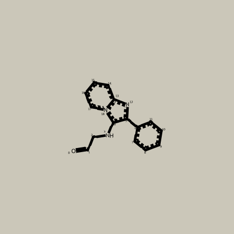 O=CCNc1c(-c2ccccc2)nc2ccccn12